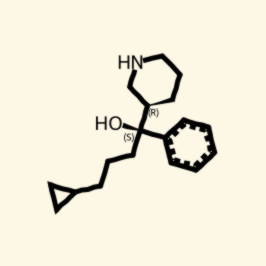 O[C@](CCCC1CC1)(c1ccccc1)[C@@H]1CCCNC1